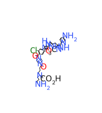 NCCCN(CCCC(=O)N1CCN(C(=O)c2ccc(NC(=O)c3ncc(Cc4c(C(F)(F)F)n[nH]c4-c4ccc(N)cn4)[nH]3)cc2Cl)CC1)CC(=O)O